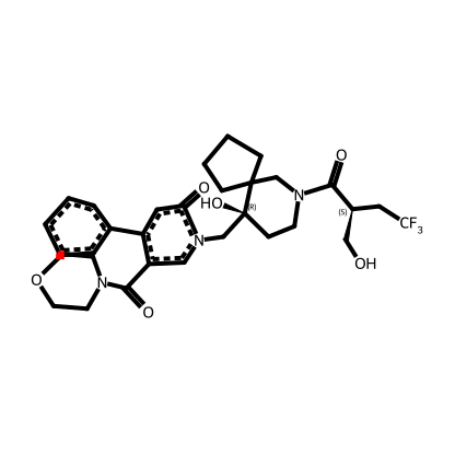 O=C(c1cn(C[C@@]2(O)CCN(C(=O)[C@H](CO)CC(F)(F)F)CC23CCCC3)c(=O)cc1-c1ccccc1)N1CCOCC1